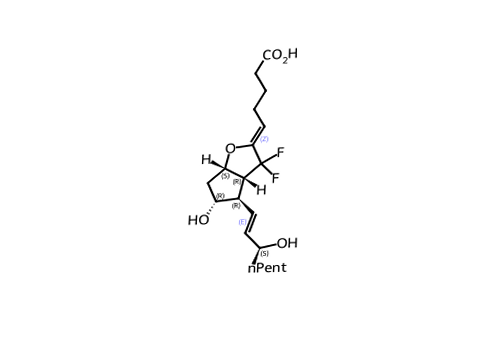 CCCCC[C@H](O)/C=C/[C@@H]1[C@@H]2[C@H](C[C@H]1O)O/C(=C\CCCC(=O)O)C2(F)F